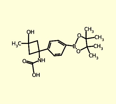 CC1(O)CC(NC(=O)O)(c2ccc(B3OC(C)(C)C(C)(C)O3)cc2)C1